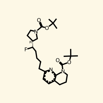 CC(C)(C)OC(=O)N1CC[C@@H](C(F)CCCCc2ccc3c(n2)N(C(=O)OC(C)(C)C)CCC3)C1